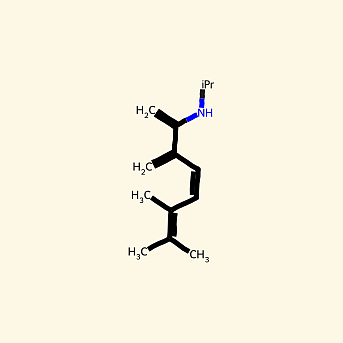 C=C(/C=C\C(C)=C(C)C)C(=C)NC(C)C